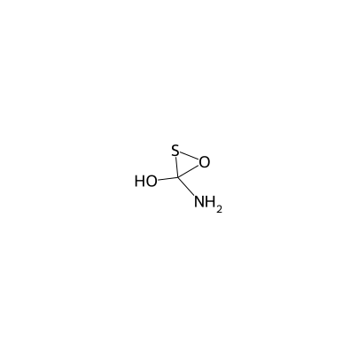 NC1(O)OS1